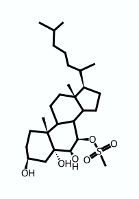 CC(C)CCCC(C)[C@H]1CCC2C3C(CC[C@@]21C)[C@@]1(C)CC[C@H](O)C[C@]1(O)[C@H](O)[C@@H]3OS(C)(=O)=O